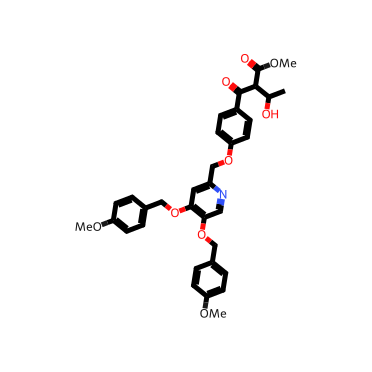 COC(=O)C(C(=O)c1ccc(OCc2cc(OCc3ccc(OC)cc3)c(OCc3ccc(OC)cc3)cn2)cc1)C(C)O